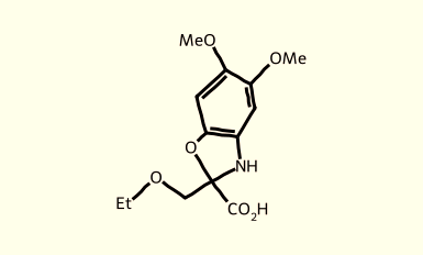 CCOCC1(C(=O)O)Nc2cc(OC)c(OC)cc2O1